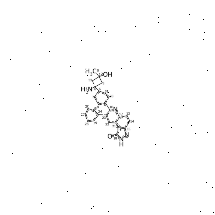 CC1(O)CC(N)(c2ccc(-c3nc4ccc5n[nH]c(=O)n5c4cc3-c3ccccc3)cc2)C1